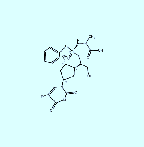 CC(N[P@@](=O)(Oc1ccccc1)OC(CO)[C@H]1O[C@@H](n2cc(F)c(=O)[nH]c2=O)C[C@@H]1O)C(=O)O